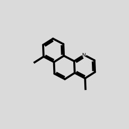 Cc1cccc2c1ccc1c(C)ccnc12